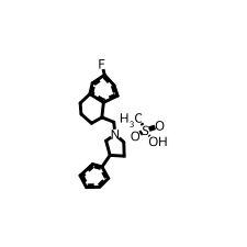 CS(=O)(=O)O.Fc1ccc2c(c1)CCCC2CN1CCC(c2ccccc2)C1